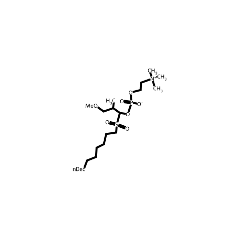 CCCCCCCCCCCCCCCCS(=O)(=O)C(OP(=O)([O-])OCC[N+](C)(C)C)C(C)COC